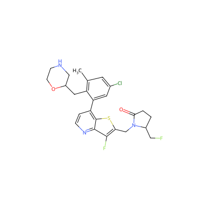 Cc1cc(Cl)cc(-c2ccnc3c(F)c(CN4C(=O)CCC4CF)sc23)c1CC1CNCCO1